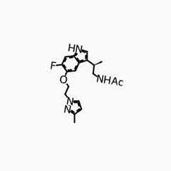 CC(=O)NC[C@H](C)c1c[nH]c2cc(F)c(OCCn3ccc(C)n3)cc12